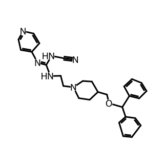 N#CN/C(=N\c1ccncc1)NCCN1CCC(COC(c2ccccc2)c2ccccc2)CC1